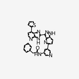 O=C(Cc1ccccc1)Nc1cncc(-c2ccc3[nH]nc(-c4nc5c(-c6cccs6)ccnc5[nH]4)c3n2)c1